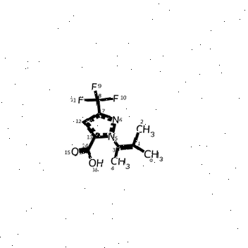 CC(C)=C(C)n1nc(C(F)(F)F)cc1C(=O)O